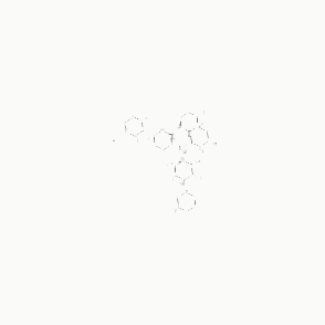 Brc1cccc(-c2ccc3c(c2)-c2cccc4cccc(c24)N3c2ccc(-c3ccccc3)cc2)c1